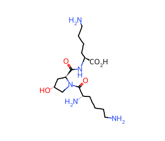 NCCCC[C@H](NC(=O)[C@@H]1C[C@@H](O)CN1C(=O)[C@@H](N)CCCCN)C(=O)O